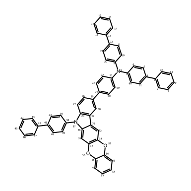 c1ccc(-c2ccc(N(c3ccc(-c4ccccc4)cc3)c3ccc(-c4ccc5c(c4)c4cc6c(cc4n5-c4ccc(-c5ccccc5)cc4)Oc4ccccc4O6)cc3)cc2)cc1